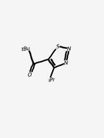 CC(C)c1nnsc1C(=O)C(C)(C)C